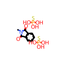 CN1C(=O)c2ccccc2C1=O.OP(O)(O)=S.OP(O)(O)=S